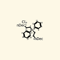 CCCCCCCCCCCC[N+](CCCCCCCCCCCC)(c1ccccc1)c1ccccc1.[Cl-]